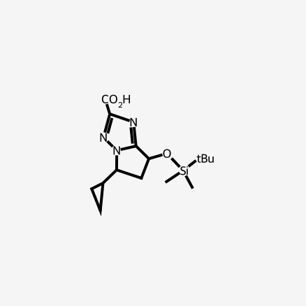 CC(C)(C)[Si](C)(C)OC1CC(C2CC2)n2nc(C(=O)O)nc21